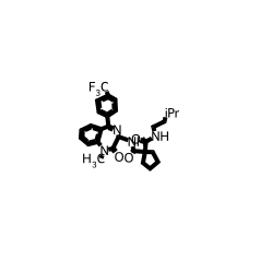 CC(C)CCNC(=O)C1(C(=O)NC2N=C(c3ccc(C(F)(F)F)cc3)c3ccccc3N(C)C2=O)CCCC1